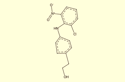 O=[N+]([O-])c1cccc(Cl)c1Nc1ccc(CCO)cc1